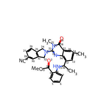 COC(=O)c1ccccc1NC(C)c1cc(C)cc2c(=O)n(C)c(N3Cc4ccc(C#N)cc4C3)nc12